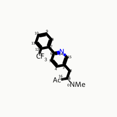 CN[C@@H](Cc1ccc(-c2ccccc2C(F)(F)F)nc1)C(C)=O